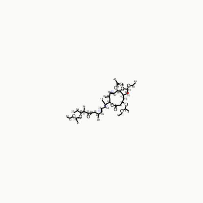 CCOC(C)OC1CC(=O)OC(/C(C)=C/C=C/C(C)CC2OC2C(C)C(CC)OC(C)OCC)C(C)/C=C/C(OC(C)=O)C(OC(C)OCC)C(C)C1